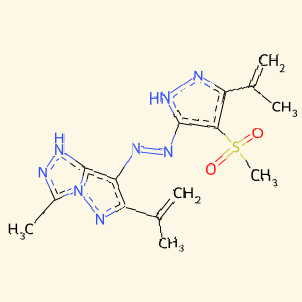 C=C(C)c1n[nH]c(N=Nc2c(C(=C)C)nn3c(C)n[nH]c23)c1S(C)(=O)=O